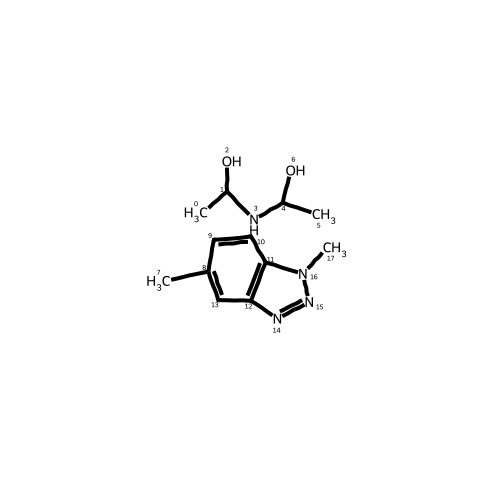 CC(O)NC(C)O.Cc1ccc2c(c1)nnn2C